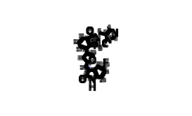 Cn1cncc1CNC(=O)c1cccc(C2=COC(/C=C3/C(=O)Nc4ccc(F)cc43)C2)c1